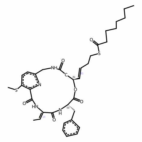 C/C=C1\NC(=O)c2nc(ccc2SC)CNC(=O)C[C@@H](/C=C/CCSC(=O)CCCCCCC)OC(=O)[C@H](Cc2ccccc2)NC1=O